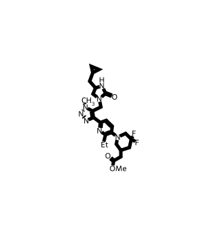 CCc1nc(-c2nnn(C)c2CN2CC(CC3CC3)NC2=O)ccc1N1CC(CC(=O)OC)CC(F)(F)C1